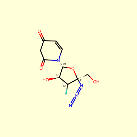 [N-]=[N+]=N[C@]1(CO)O[C@@H](N2C=CC(=O)CC2=O)[C@H](O)[C@@H]1F